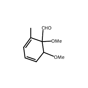 COC1C=CC=C(C)C1(C=O)OC